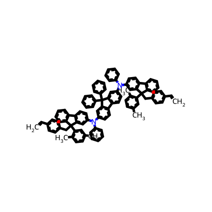 C=Cc1ccc(CC2(c3cc(C)ccc3C)c3ccccc3-c3ccc(N(c4ccccc4)c4ccc5c(c4)C(c4ccccc4)(c4ccccc4)c4cc(N(c6ccccc6)c6ccc7c(c6)C(Cc6ccc(C=C)cc6)(c6cc(C)ccc6C)c6ccccc6-7)ccc4-5)cc32)cc1